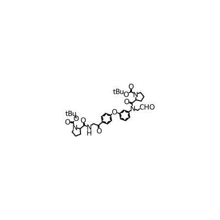 CC(C)(C)OC(=O)N1CCCC1C(=O)NCC(=O)c1ccc(Oc2cccc(N(CC=O)C(=O)C3CCCN3C(=O)OC(C)(C)C)c2)cc1